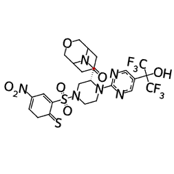 O=C1CC2COCC(C1)N2C[C@H]1CN(S(=O)(=O)C2=CC([N+](=O)[O-])=CCC2=S)CCN1c1ncc(C(O)(C(F)(F)F)C(F)(F)F)cn1